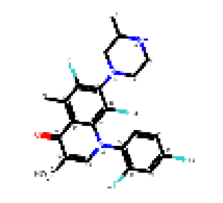 Cc1c(F)c(N2CCNC(C)C2)c(F)c2c1c(=O)c(C(=O)O)cn2-c1ccc(F)cc1F